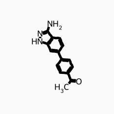 CC(=O)c1ccc(-c2ccc3c(N)n[nH]c3c2)cc1